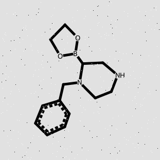 c1ccc(CN2CCNCC2B2OCCO2)cc1